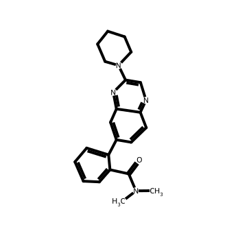 CN(C)C(=O)c1ccccc1-c1ccc2ncc(N3CCCCC3)nc2c1